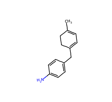 CC1=CC=C(Cc2ccc(N)cc2)CC1